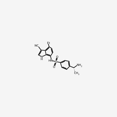 CCc1ccc(NS(=O)(=O)c2ccc([C@@H](C)N)cc2)c2[nH]cc(C#N)c12